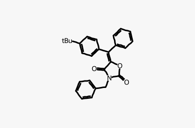 CC(C)(C)c1ccc(C(=C2OC(=O)N(Cc3ccccc3)C2=O)c2ccccc2)cc1